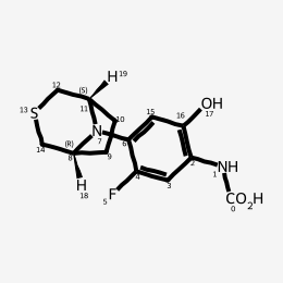 O=C(O)Nc1cc(F)c(N2[C@@H]3CC[C@H]2CSC3)cc1O